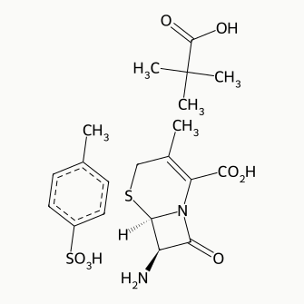 CC(C)(C)C(=O)O.CC1=C(C(=O)O)N2C(=O)[C@@H](N)[C@H]2SC1.Cc1ccc(S(=O)(=O)O)cc1